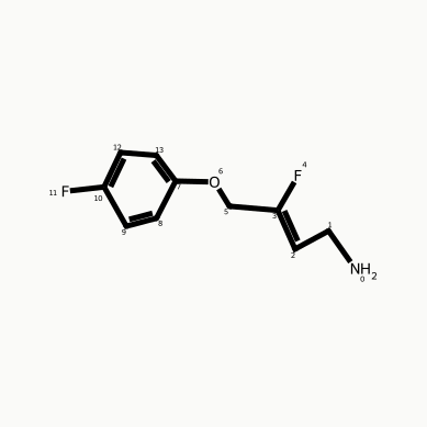 NCC=C(F)COc1ccc(F)cc1